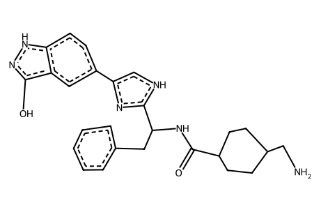 NCC1CCC(C(=O)NC(Cc2ccccc2)c2nc(-c3ccc4[nH]nc(O)c4c3)c[nH]2)CC1